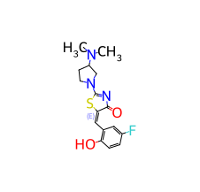 CN(C)C1CCN(C2=NC(=O)/C(=C\c3cc(F)ccc3O)S2)C1